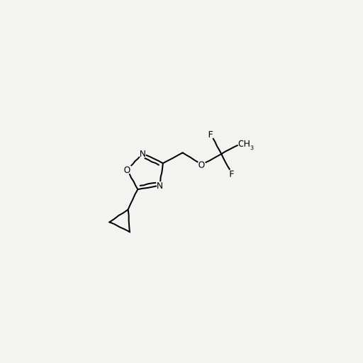 CC(F)(F)OCc1noc(C2CC2)n1